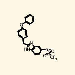 O=S(=O)(Nc1ccc2[nH]c(Cc3ccc(Oc4ccccc4)cc3)nc2c1)C(F)(F)F